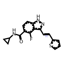 O=C(NC1CC1)c1ccc2[nH]nc(/C=C/c3cccs3)c2c1F